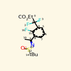 CCOC(=O)C(F)(F)c1cccc(/C(C)=N/[S@+]([O-])C(C)(C)C)c1F